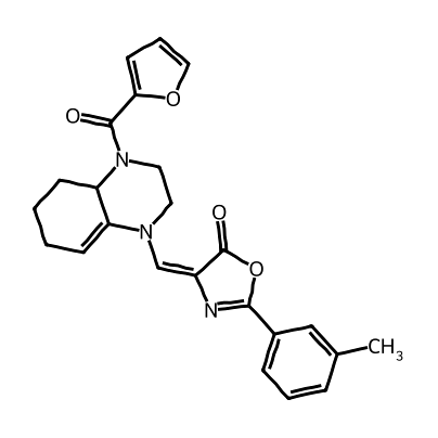 Cc1cccc(C2=NC(=CN3CCN(C(=O)c4ccco4)C4CCCC=C43)C(=O)O2)c1